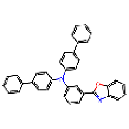 c1ccc(-c2ccc(N(c3ccc(-c4ccccc4)cc3)c3cccc(-c4nc5ccccc5o4)c3)cc2)cc1